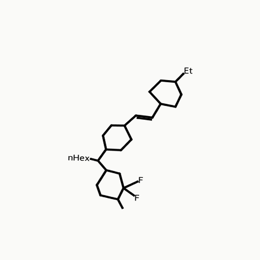 CCCCCCC(C1CCC(C=CC2CCC(CC)CC2)CC1)C1CCC(C)C(F)(F)C1